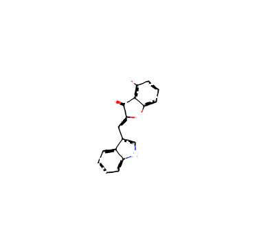 O=C1/C(=C/c2c[nH]c3ccccc23)Oc2cccc(O)c21